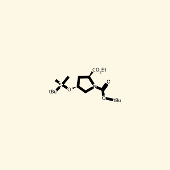 CCOC(=O)[C@@H]1C[C@@H](O[Si](C)(C)C(C)(C)C)CN1C(=O)OC(C)(C)C